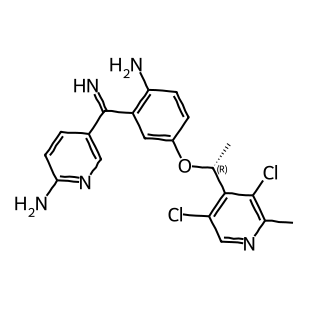 Cc1ncc(Cl)c([C@@H](C)Oc2ccc(N)c(C(=N)c3ccc(N)nc3)c2)c1Cl